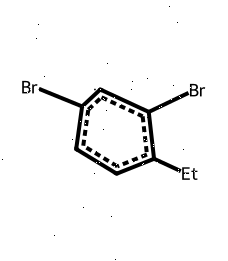 CCc1ccc(Br)[c]c1Br